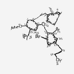 COc1cc(Cc2ccccc2)c(Oc2c(Br)cc(CCO)cc2Br)cc1C(C)C